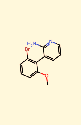 COc1cccc(Br)c1-c1cccnc1N